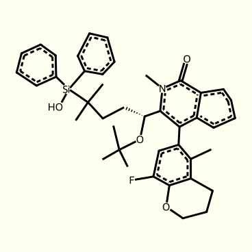 Cc1c(-c2c([C@@H](CCC(C)(C)[Si](O)(c3ccccc3)c3ccccc3)OC(C)(C)C)n(C)c(=O)c3ccccc23)cc(F)c2c1CCCO2